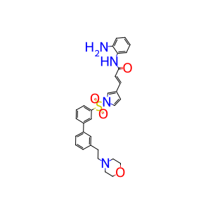 Nc1ccccc1NC(=O)C=Cc1ccn(S(=O)(=O)c2cccc(-c3cccc(CCN4CCOCC4)c3)c2)c1